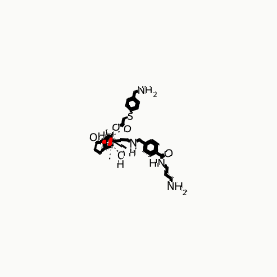 C[C@@H]1CC[C@@]23CCC(=O)[C@H]2[C@]1(C)[C@H](OC(=O)CSc1ccc(CN)cc1)C[C@](C)(CNCc1ccc(C(=O)NCCCN)cc1)[C@@H](O)[C@@H]3C